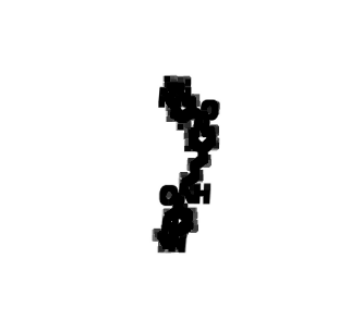 O=C(NCCCCC1CCN(C(=O)c2ccc3nccn3c2)CC1)c1ccc2nccn2c1